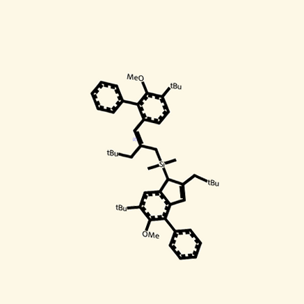 COc1c(C(C)(C)C)ccc(/C=C(/CC(C)(C)C)C[Si](C)(C)C2C(CC(C)(C)C)=Cc3c2cc(C(C)(C)C)c(OC)c3-c2ccccc2)c1-c1ccccc1